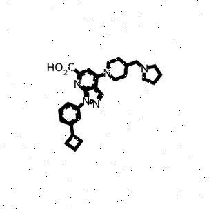 O=C(O)c1cc(N2CCC(CN3CCCC3)CC2)c2cnn(-c3cccc(C4CCC4)c3)c2n1